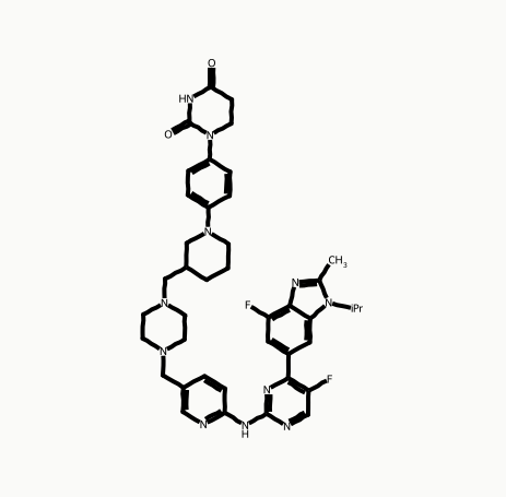 Cc1nc2c(F)cc(-c3nc(Nc4ccc(CN5CCN(CC6CCCN(c7ccc(N8CCC(=O)NC8=O)cc7)C6)CC5)cn4)ncc3F)cc2n1C(C)C